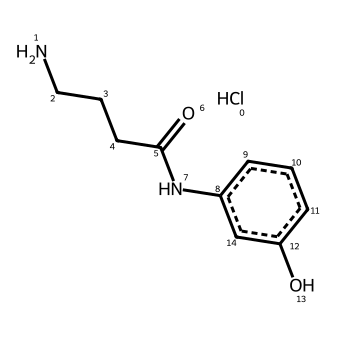 Cl.NCCCC(=O)Nc1cccc(O)c1